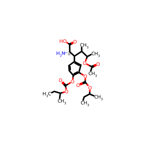 CCC(C)OC(=O)Oc1ccc(C(C(C)C(C)OC(C)=O)[C@H](N)C(=O)O)cc1OC(=O)OC(C)CC